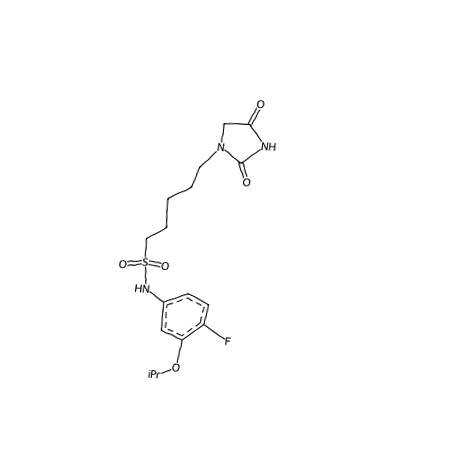 CC(C)Oc1cc(NS(=O)(=O)CCCCCN2CC(=O)NC2=O)ccc1F